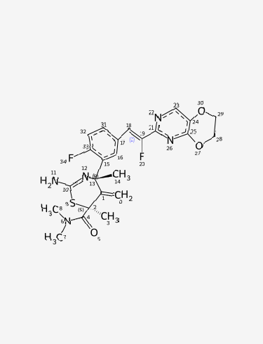 C=C1[C@@](C)(C(=O)N(C)C)SC(N)=N[C@]1(C)c1cc(/C=C(\F)c2ncc3c(n2)OCCO3)ccc1F